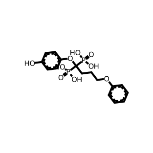 O=P(O)(O)C(CCCOc1ccccc1)(Oc1ccc(O)cc1)P(=O)(O)O